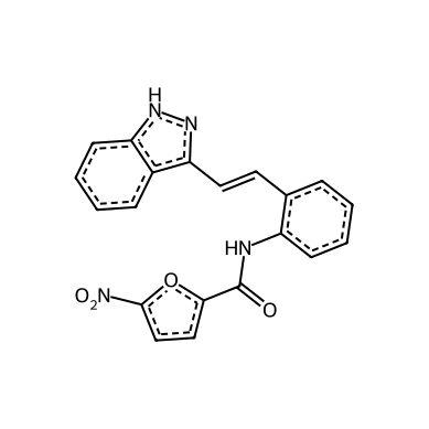 O=C(Nc1ccccc1C=Cc1n[nH]c2ccccc12)c1ccc([N+](=O)[O-])o1